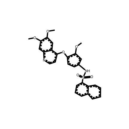 COc1cc2nccc(Oc3ccc(NS(=O)(=O)c4cccc5ccccc45)cc3OC)c2cc1OC